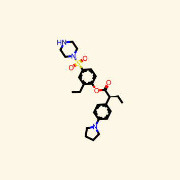 CCc1cc(S(=O)(=O)N2CCNCC2)ccc1OC(=O)[C@@H](CC)c1ccc(N2CCCC2)cc1